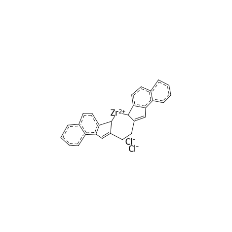 C1=C2CCC3=Cc4c(ccc5ccccc45)[CH]3[Zr+2][CH]2c2ccc3ccccc3c21.[Cl-].[Cl-]